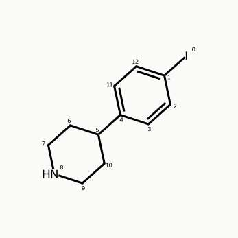 Ic1ccc(C2CCNCC2)cc1